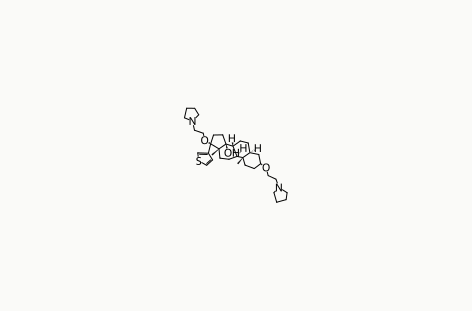 C[C@]12CC[C@H](OCCN3CCCC3)C[C@@H]1CC[C@@H]1[C@@H]2CC[C@]2(C)[C@](OCCN3CCCC3)(c3ccsc3)CC[C@]12O